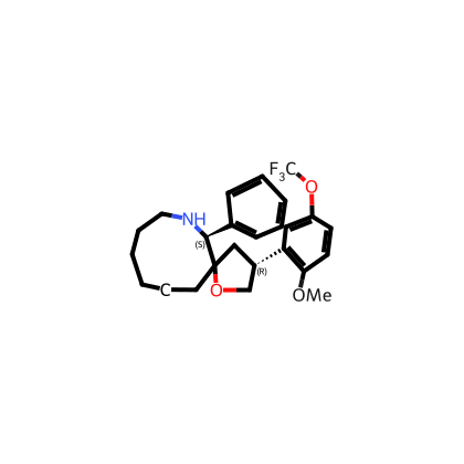 COc1ccc(OC(F)(F)F)cc1[C@@H]1COC2(CCCCCCN[C@H]2c2ccccc2)C1